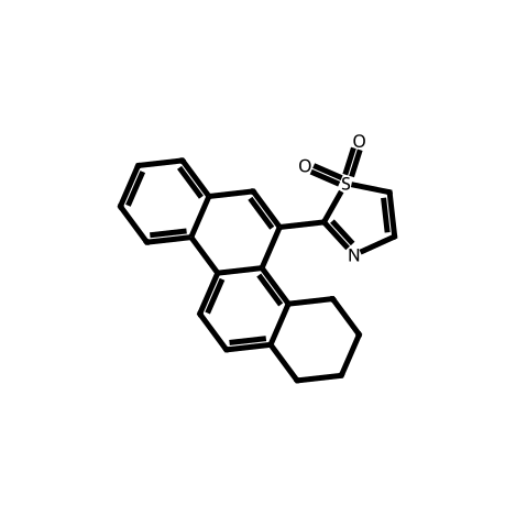 O=S1(=O)C=CN=C1c1cc2ccccc2c2ccc3c(c12)CCCC3